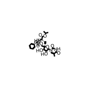 C#C[C@]1(COP(=O)(N[C@@H](C)C(=O)OC(C)C)Oc2ccccc2)O[C@@H](n2cc(C)c(=O)[nH]c2=O)[C@H](O)[C@@H]1O